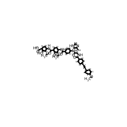 COc1ccc(C#Cc2ccc(C(=O)N[C@@H](Cc3c[nH]nn3)C(=O)Nc3ccc(C(=O)Nc4ccc(C(=O)Nc5ccc(C(=O)O)c(O)c5OC)c(O)c4OC)cc3)cc2)cc1